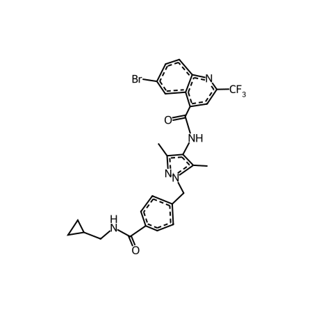 Cc1nn(Cc2ccc(C(=O)NCC3CC3)cc2)c(C)c1NC(=O)c1cc(C(F)(F)F)nc2ccc(Br)cc12